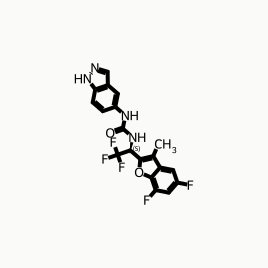 Cc1c([C@H](NC(=O)Nc2ccc3[nH]ncc3c2)C(F)(F)F)oc2c(F)cc(F)cc12